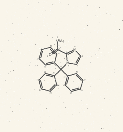 COC(=O)c1nccn1C(c1ccccc1)(c1ccccc1)c1ccccc1